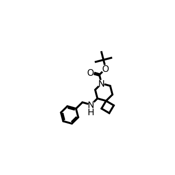 CC(C)(C)OC(=O)N1CCC2(CCC2)C(NCc2ccccc2)C1